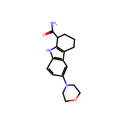 NC(=O)C1CCCc2c1[nH]c1ccc(N3CCOCC3)cc21